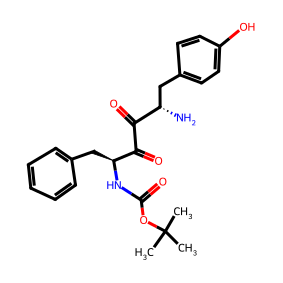 CC(C)(C)OC(=O)N[C@@H](Cc1ccccc1)C(=O)C(=O)[C@@H](N)Cc1ccc(O)cc1